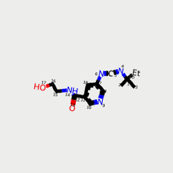 CCC(C)(C)N=C=Nc1cncc(C(=O)NCCO)c1